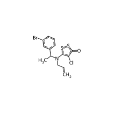 C=CCN(c1ssc(=O)c1Cl)C(C)c1cccc(Br)c1